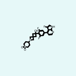 O=S1(=O)CCC(N2CC3(C2)CC(O)(c2c(F)cc(-c4ccnc5[nH]cc(F)c45)cc2F)C3)CC1